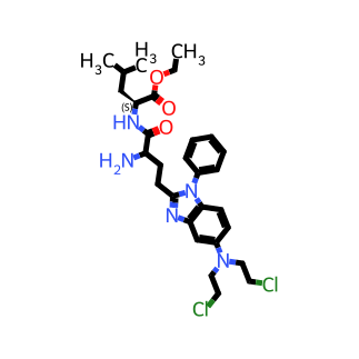 CCOC(=O)[C@H](CC(C)C)NC(=O)C(N)CCc1nc2cc(N(CCCl)CCCl)ccc2n1-c1ccccc1